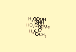 COc1ccc(-c2c(C)cccc2C)cc1[C@H](CC(=O)O)NC(=O)Nc1c(O)ccn(C)c1=O